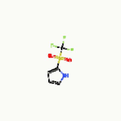 O=S(=O)(c1ccc[nH]1)C(F)(F)F